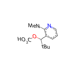 CNc1ncccc1C(OC(=O)O)C(C)(C)C